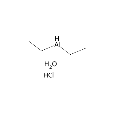 C[CH2][AlH][CH2]C.Cl.O